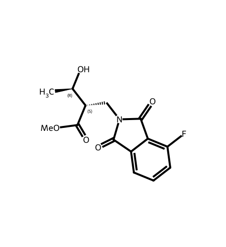 COC(=O)[C@@H](CN1C(=O)c2cccc(F)c2C1=O)[C@@H](C)O